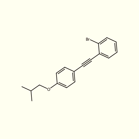 CC(C)COc1ccc(C#Cc2ccccc2Br)cc1